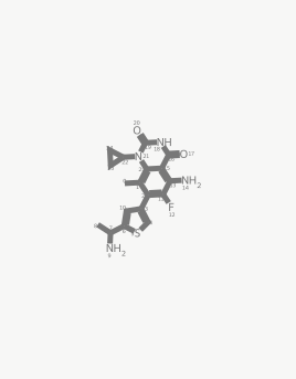 Cc1c(-c2csc(C(C)N)c2)c(F)c(N)c2c(=O)[nH]c(=O)n(C3CC3)c12